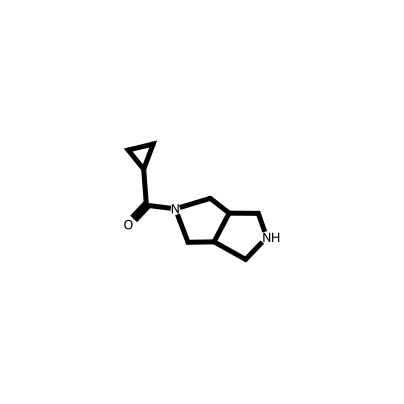 O=C(C1CC1)N1CC2CNCC2C1